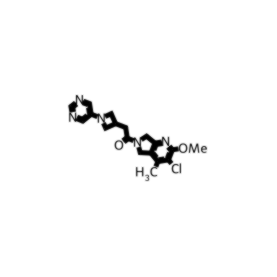 COc1nc2c(c(C)c1Cl)CN(C(=O)CC1CN(c3cncnc3)C1)C2